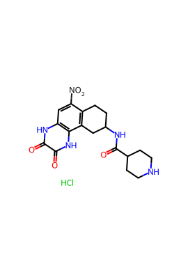 Cl.O=C(NC1CCc2c([N+](=O)[O-])cc3[nH]c(=O)c(=O)[nH]c3c2C1)C1CCNCC1